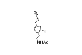 CC(=O)NCCc1ccc(CN=C=O)cc1I